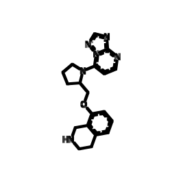 c1cc2c(c(OCC3CCCN3c3ccnc4ncnn34)c1)CNCC2